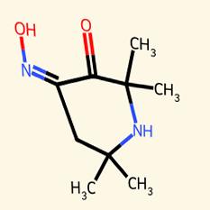 CC1(C)CC(=NO)C(=O)C(C)(C)N1